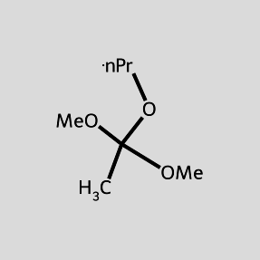 CC[CH]OC(C)(OC)OC